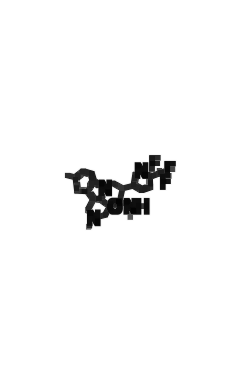 CNC(=O)C(Cn1c2c(c3cc(C)ccc31)CN(C)CC2)c1ccc(C(F)(F)F)nc1